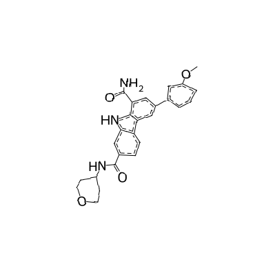 COc1cccc(-c2cc(C(N)=O)c3[nH]c4cc(C(=O)NC5CCOCC5)ccc4c3c2)c1